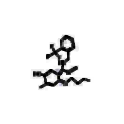 C=N/C(NCc1ccccc1C(F)(F)F)=C1/C=C(O)C(C)=C/C1=N/CCCC